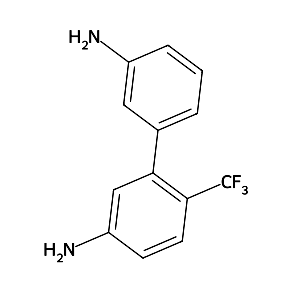 Nc1cccc(-c2cc(N)ccc2C(F)(F)F)c1